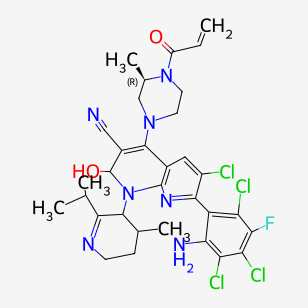 C=CC(=O)N1CCN(C2=C(C#N)C(O)N(C3C(C(C)C)=NCCC3C)c3nc(-c4c(N)c(Cl)c(Cl)c(F)c4Cl)c(Cl)cc32)C[C@H]1C